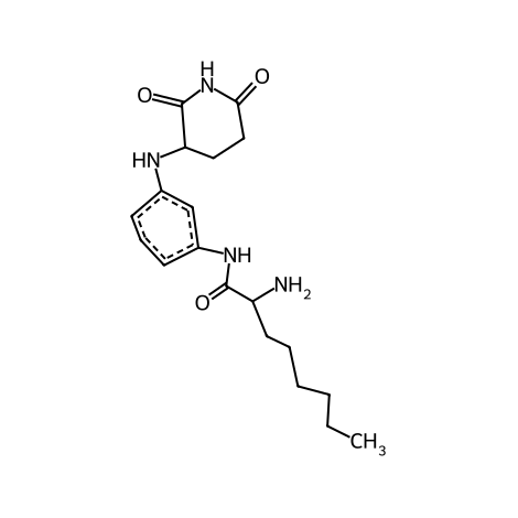 CCCCCCC(N)C(=O)Nc1cccc(NC2CCC(=O)NC2=O)c1